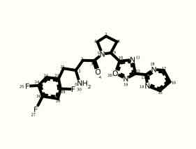 NC(CC(=O)N1CCCC1c1nc(-c2ncccn2)no1)Cc1cc(F)c(F)cc1F